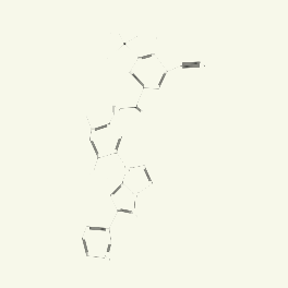 Cc1cc(F)c(NC(=O)c2cc(C#N)cc(C(C)(C)C)c2)cc1-n1ccn2nc(-c3cccnc3)cc12